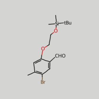 Cc1cc(OCCO[Si](C)(C)C(C)(C)C)c(C=O)cc1Br